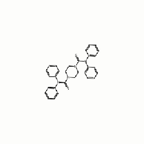 S=C(N1CCN(C(=S)N(c2ccccc2)c2ccccc2)CC1)N(c1ccccc1)c1ccccc1